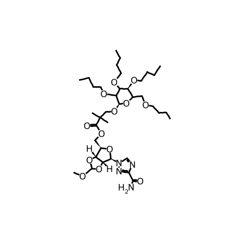 CCCCOCC1O[C@@H](OCC(C)(C)C(=O)OC[C@H]2O[C@@H](n3cnc(C(N)=O)n3)[C@@H]3OC(OC)O[C@@H]32)C(OCCCC)C(OCCCC)[C@H]1OCCCC